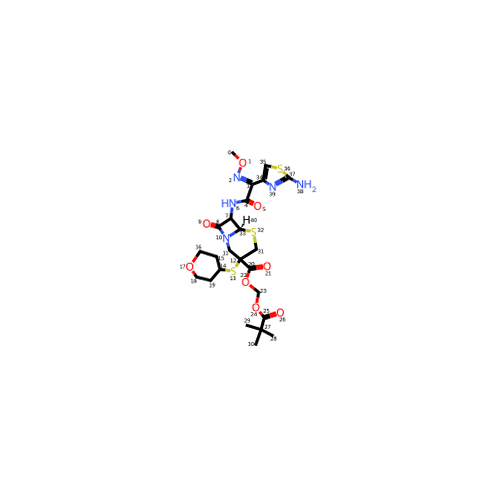 CON=C(C(=O)NC1C(=O)N2CC(SC3CCOCC3)(C(=O)OCOC(=O)C(C)(C)C)CS[C@H]12)c1csc(N)n1